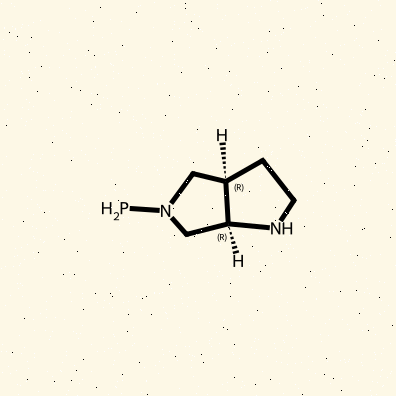 PN1C[C@H]2CCN[C@H]2C1